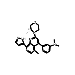 Cc1cnc(-c2ccn[nH]2)c2nc(N3CCOC[C@H]3C)cc(-c3cccc(N(C)C)c3)c12